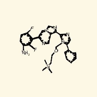 C[Si](C)(C)CCOCn1c(-c2ccccc2)cnc1-c1ncn2cc(-c3c(F)ccc(N)c3F)ncc12